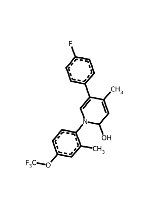 CC1=CC(O)N(c2ccc(OC(F)(F)F)cc2C)C=C1c1ccc(F)cc1